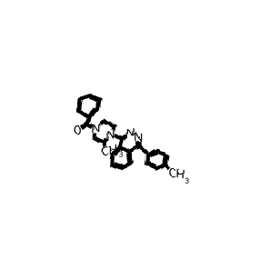 Cc1ccc(-c2nnc(N3CCN(C(=O)c4ccccc4)CC3C)c3ccccc23)cc1